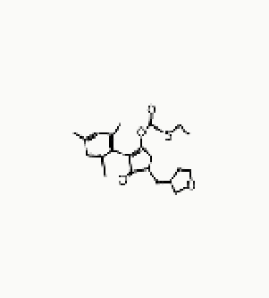 CCSC(=O)OC1=C(c2c(C)cc(C)cc2C)C(=O)C(CC2CCOC2)C1